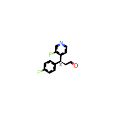 O=CC[C@@H](c1ccc(F)cc1)c1ccncc1F